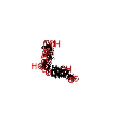 C[C@H]1C[C@@H](O[C@H]2CC[C@@]3(C)[C@H](CCC4[C@@H]3CC[C@]3(C)[C@@H](C5=CC(=O)OC5)CC[C@]43O)C2)O[C@H](O)[C@@H]1O[C@@H]1O[C@H](C)[C@@H](O[C@H]2C[C@H](O)[C@H](O)[C@@H](C)O2)[C@@H](O)O1